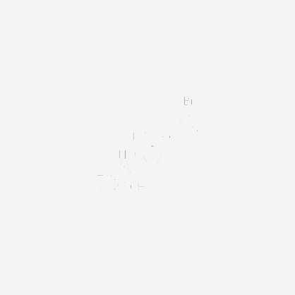 Cc1c(OCc2cc(Br)cs2)ccc(CC(=O)C(C)(C)C)c1O